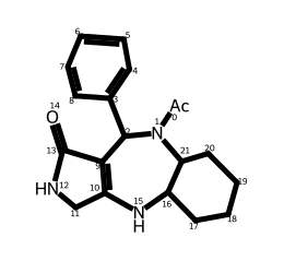 CC(=O)N1C(c2ccccc2)C2=C(CNC2=O)NC2CCCCC21